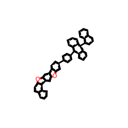 c1ccc2c(-c3c4ccccc4c(-c4ccc(-c5ccc6c(c5)oc5cc7c(cc56)oc5ccc6ccccc6c57)cc4)c4ccccc34)cccc2c1